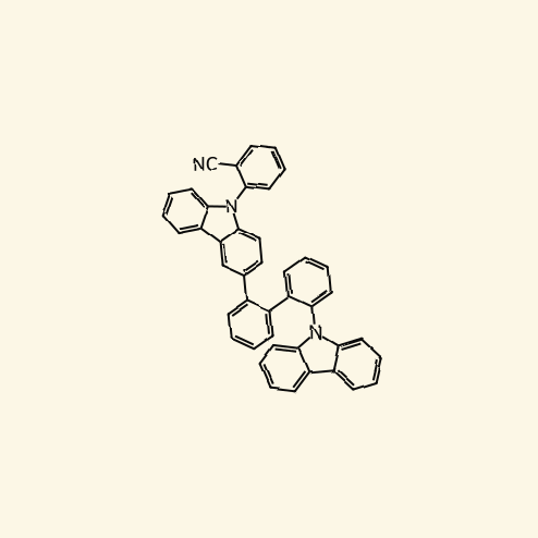 N#Cc1ccccc1-n1c2ccccc2c2cc(-c3ccccc3-c3ccccc3-n3c4ccccc4c4ccccc43)ccc21